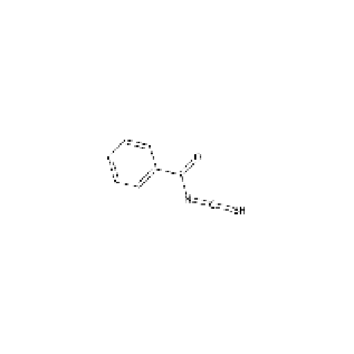 B=C=NC(=O)c1ccccc1